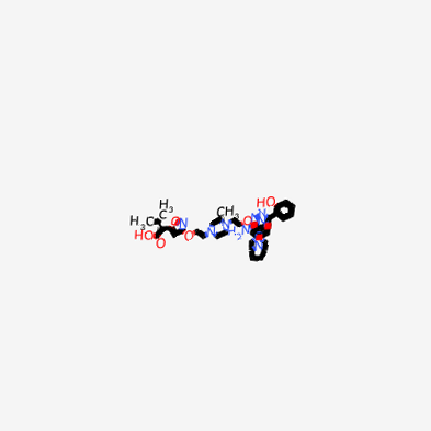 CC(C)[C@H](C(=O)O)c1cc(OCCN2CCN(CCOc3cc(N4C5CCC4CN(c4cc(-c6ccccc6O)nnc4N)C5)ccn3)[C@H](C)C2)no1